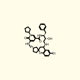 CCc1ccc2c(c1)C(NC[C@@H](O)[C@H](Cc1ccccc1)NC(=O)c1cc(NC(C)C)c(=O)n(C3CCCC3)c1)CC1(CCCC1)O2